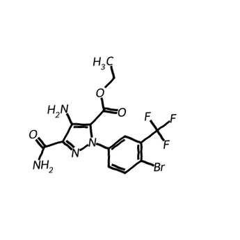 CCOC(=O)c1c(N)c(C(N)=O)nn1-c1ccc(Br)c(C(F)(F)F)c1